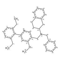 CCc1cccc(CC)c1-c1cc(OC)c(CN(Cc2ccccc2)C2CCc3ccccc3C2)cn1